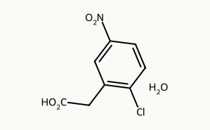 O.O=C(O)Cc1cc([N+](=O)[O-])ccc1Cl